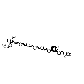 CCOC(=O)c1cc(OCCOCCOCCOCCOCCNC(=O)OC(C)(C)C)ccn1